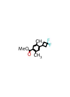 COC(=O)c1cc(C)c(C2CC(F)(F)C2)cc1C